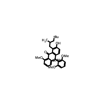 COc1cccc(OC)c1C(=O)c1ccc(O)c(CC(C)CC(C)(C)C)c1C(=O)c1c(OC)cccc1OC